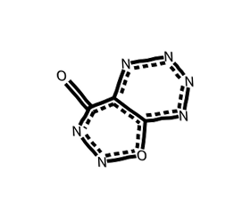 O=c1nnoc2nnnnc12